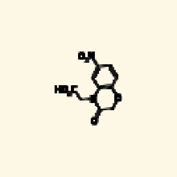 O=C(O)CN1C(=O)COc2ccc([N+](=O)[O-])cc21